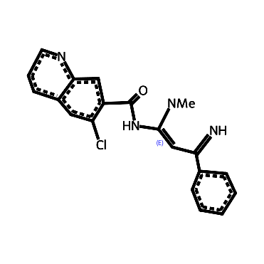 CN/C(=C\C(=N)c1ccccc1)NC(=O)c1cc2ncccc2cc1Cl